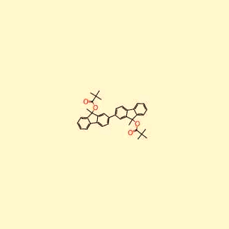 CC(C)(C)C(=O)OC1(C)c2ccccc2-c2ccc(-c3ccc4c(c3)C(C)(OC(=O)C(C)(C)C)c3ccccc3-4)cc21